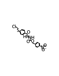 O=C(NNC(=O)c1ccc(SCCl)cc1)OCc1ccc([N+](=O)[O-])cc1